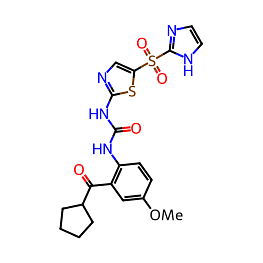 COc1ccc(NC(=O)Nc2ncc(S(=O)(=O)c3ncc[nH]3)s2)c(C(=O)C2CCCC2)c1